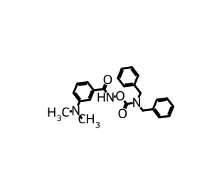 CN(C)c1cccc(C(=O)NOC(=O)N(Cc2ccccc2)Cc2ccccc2)c1